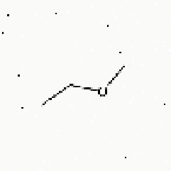 [CH2]OCC